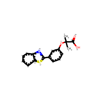 CC(C)(Oc1cccc(-c2nc3ccccc3s2)c1)C(=O)O